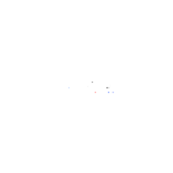 CC=CC=CC(=O)N1CCc2ccc(OCCc3coc(C=CCC(C)C)n3)cc2C1C(C(=O)O)C(C)(C)N